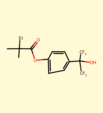 CCC(C)(C)C(=O)Oc1ccc(C(O)(C(F)(F)F)C(F)(F)F)cc1